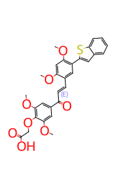 COc1cc(OC)c(-c2cc3ccccc3s2)cc1/C=C/C(=O)c1cc(OC)c(OCC(=O)O)c(OC)c1